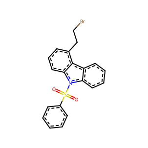 O=S(=O)(c1ccccc1)n1c2ccccc2c2c(CCBr)cccc21